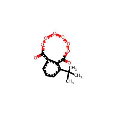 CC(C)(C)c1cccc2c(=O)ooooooc(=O)c12